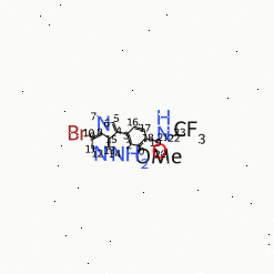 COc1cc(-c2cn(C)c3c(Br)cnc(N)c23)ccc1C(=O)NCC(F)(F)F